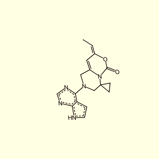 C/C=C1\C=C2CN(c3ncnc4[nH]ccc34)CC3(CC3)N2C(=O)O1